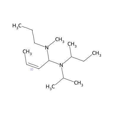 C/C=C\C(N(C)CCC)N(C(C)C)C(C)CC